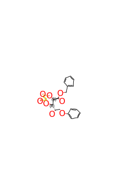 O=C(COc1ccccc1)[C@@H]1OS(=O)(=O)O[C@H]1C(=O)OCc1ccccc1